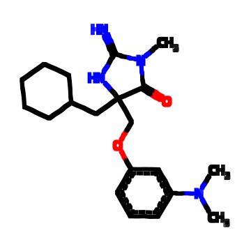 CN1C(=N)NC(COc2cccc(N(C)C)c2)(CC2CCCCC2)C1=O